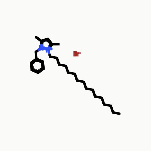 CCCCCCCCCCCCCCCC[n+]1c(C)cc(C)n1Cc1ccccc1.[Br-]